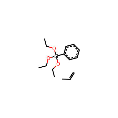 C=CC.CCO[Si](OCC)(OCC)c1ccccc1